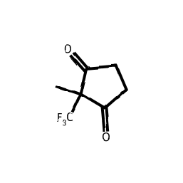 CC1(C(F)(F)F)C(=O)CCC1=O